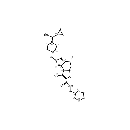 C[C@@H]1Cc2oc(C(=O)NC[C@@H]3COCCO3)c(C(F)(F)F)c2-c2nn(CC3CCN(C(O)C4CC4)CC3)cc21